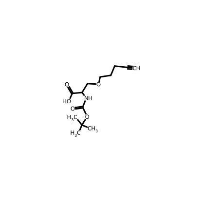 C#CCCCOCC(NC(=O)OC(C)(C)C)C(=O)O